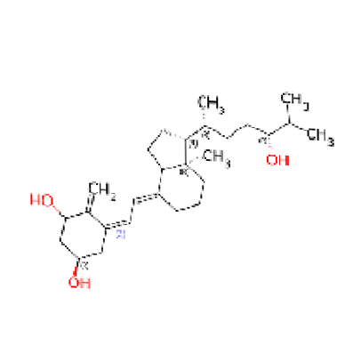 C=C1/C(=C\C=C2CCC[C@@]3(C)C2CC[C@@H]3[C@H](C)CC[C@@H](O)C(C)C)C[C@@H](O)CC1O